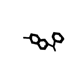 Cc1ccc2cc(C(C)c3ccccc3)ccc2c1